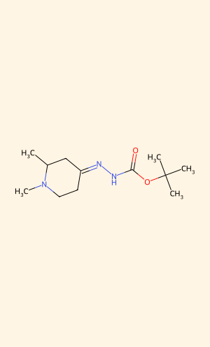 CC1CC(=NNC(=O)OC(C)(C)C)CCN1C